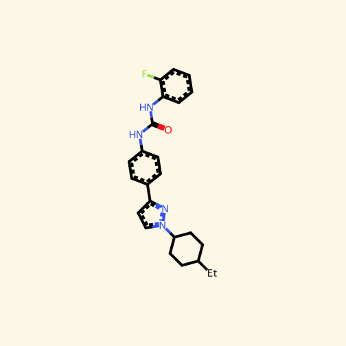 CCC1CCC(n2ccc(-c3ccc(NC(=O)Nc4ccccc4F)cc3)n2)CC1